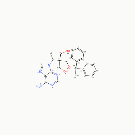 CC(n1cnc2c(N)ncnc21)C(CO)(CO)CO[Si](c1ccccc1)(c1ccccc1)C(C)(C)C